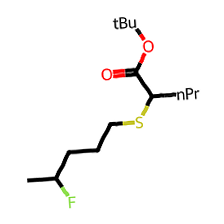 CCCC(SCCCC(C)F)C(=O)OC(C)(C)C